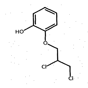 Oc1ccccc1OCC(Cl)CCl